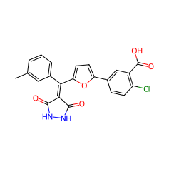 Cc1cccc(C(=C2C(=O)NNC2=O)c2ccc(-c3ccc(Cl)c(C(=O)O)c3)o2)c1